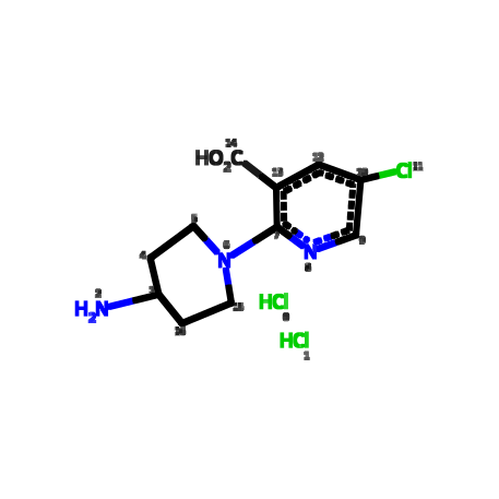 Cl.Cl.NC1CCN(c2ncc(Cl)cc2C(=O)O)CC1